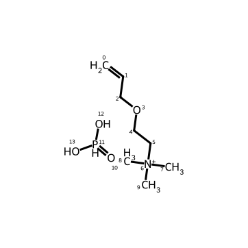 C=CCOCC[N+](C)(C)C.O=[PH](O)O